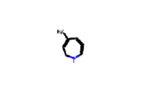 CC1=CCNC=C=C1